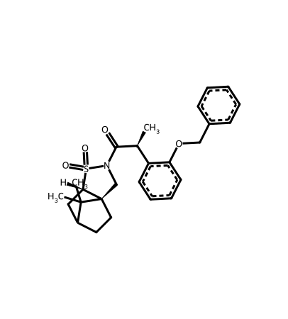 C[C@H](C(=O)N1C[C@]23CCC(C[C@@H]2S1(=O)=O)C3(C)C)c1ccccc1OCc1ccccc1